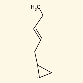 CCC=CCC1[CH]C1